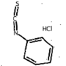 Cl.S=C=Nc1ccccc1